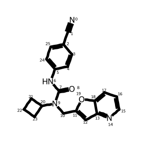 N#Cc1ccc(NC(=O)N(Cc2cc3ncccc3o2)C2CCC2)cc1